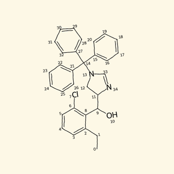 CCc1cccc(Cl)c1C(O)C1CN(C(c2ccccc2)(c2ccccc2)c2ccccc2)C=N1